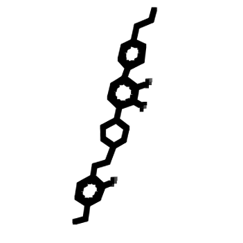 CCCc1ccc(-c2ccc(C3CCC(CCc4ccc(CC)cc4F)CC3)c(F)c2F)cc1